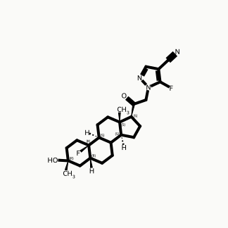 C[C@@]1(O)CC[C@@]2(F)[C@H](CCC3[C@@H]4CC[C@H](C(=O)Cn5ncc(C#N)c5F)[C@@]4(C)CC[C@@H]32)C1